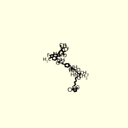 CC[C@H]1C(=O)OCc2c1cc1n(c2=O)Cc2c-1nc1cc(F)c(C)c3c1c2[C@@H](NC(=O)OCc1ccc(NC(=O)CNC(=O)C(NC(=O)CCCCCN2C(=O)C=CC2=O)C(C)C)cc1)CC3